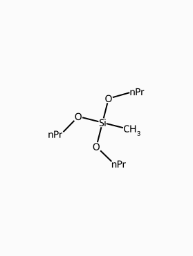 CCCO[Si](C)(OCCC)OCCC